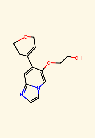 OCCOc1cn2ccnc2cc1C1=CCOCC1